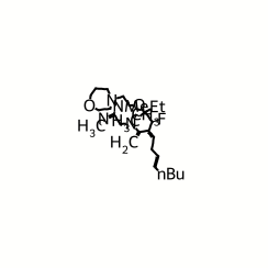 C=C(C(=CC/C=C/CCCC)[C@H](F)C(C)(CC)OCCN1CCCOCC1)N(C)C/C(=N\C)NC